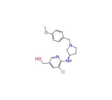 COc1ccc(CN2CC[C@@H](Nc3ncc(CO)cc3Cl)C2)cc1